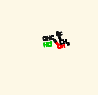 CC(C)=O.Cl.O=CO